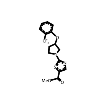 COC(=O)c1cnc(N2CCC(Oc3ccccc3C(F)(F)F)C2)s1